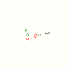 O.O.[Cl-].[Cl-].[Cl-].[In+3]